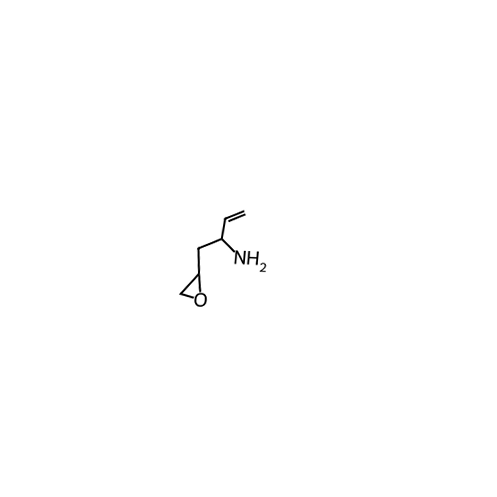 C=CC(N)CC1CO1